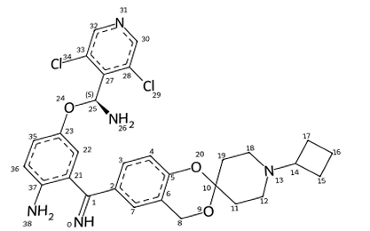 N=C(c1ccc2c(c1)COC1(CCN(C3CCC3)CC1)O2)c1cc(O[C@H](N)c2c(Cl)cncc2Cl)ccc1N